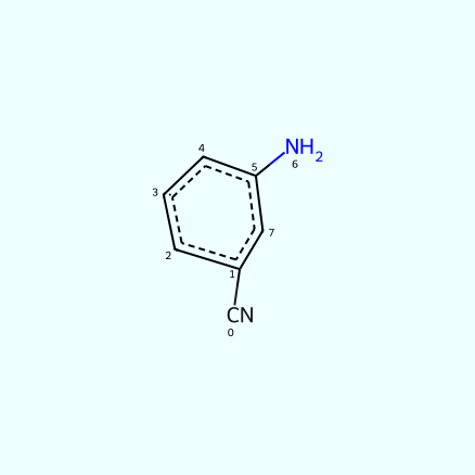 N#Cc1c[c]cc(N)c1